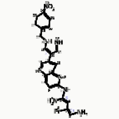 CC(C)C(=C/N)/C=C(\N)Nc1ccc2ncc(/C(C=N)=C/NCC3=CC=C([N+](=O)[O-])CC3)cc2n1